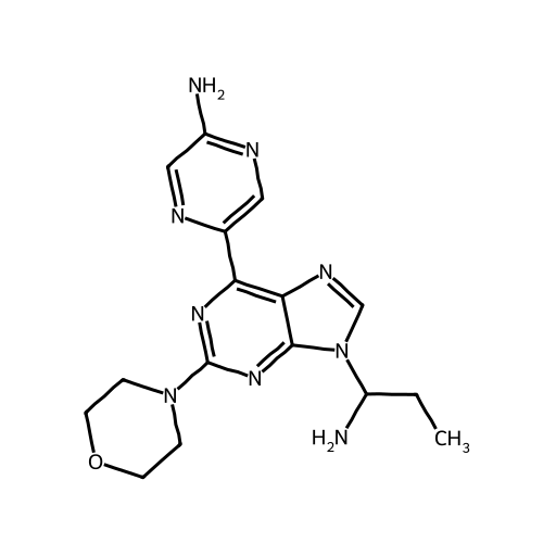 CCC(N)n1cnc2c(-c3cnc(N)cn3)nc(N3CCOCC3)nc21